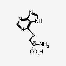 N[C@@H](CSc1ncnc2nc[nH]c12)C(=O)O